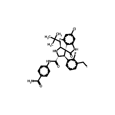 CC(C)(C)C[C@@H]1N[C@@H](C(=O)Nc2ccc(C(N)=O)cc2)[C@H](c2cccc(CI)c2F)[C@]12C(=O)Nc1cc(Cl)cc(F)c12